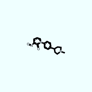 CN1CCC(c2ccc(-n3cccc(N=O)c3=O)cc2)CC1